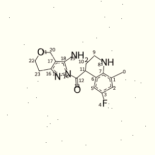 Cc1cc(F)cc2c1NCCC2C(=O)n1nc2c(c1N)COCC2